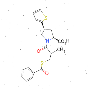 CC(CSC(=O)c1ccccc1)C(=O)N1C[C@@H](c2cccs2)C[C@H]1C(=O)O